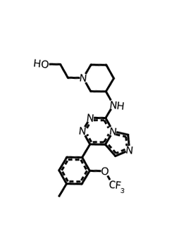 Cc1ccc(-c2nnc(NC3CCCN(CCO)C3)n3cncc23)c(OC(F)(F)F)c1